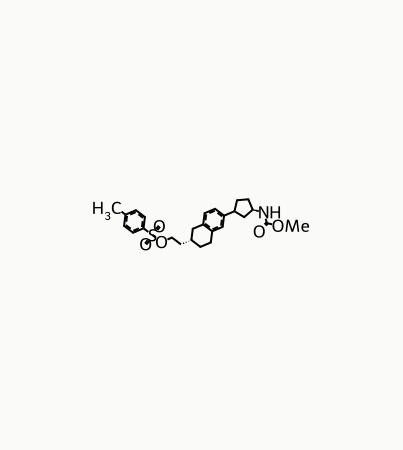 COC(=O)N[C@@H]1CCC(c2ccc3c(c2)CC[C@H](CCOS(=O)(=O)c2ccc(C)cc2)C3)C1